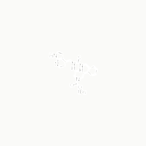 CC(C)(C)OC(=O)N1CCCC(c2ccccc2CNC(=S)NCc2ccnc3[nH]ccc23)C1